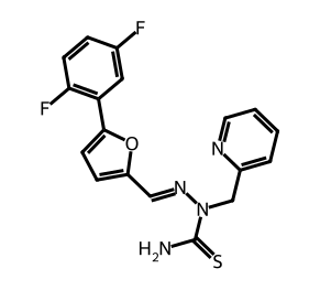 NC(=S)N(Cc1ccccn1)N=Cc1ccc(-c2cc(F)ccc2F)o1